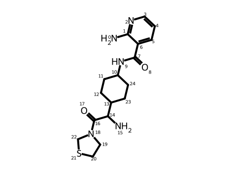 Nc1ncccc1C(=O)NC1CCC(C(N)C(=O)N2CCSC2)CC1